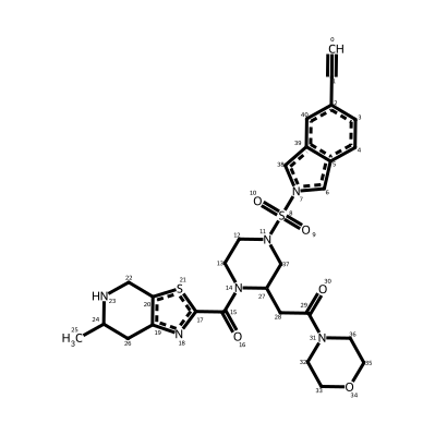 C#Cc1ccc2cn(S(=O)(=O)N3CCN(C(=O)c4nc5c(s4)CNC(C)C5)C(CC(=O)N4CCOCC4)C3)cc2c1